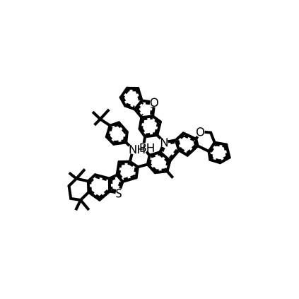 Cc1cc(-c2cc3sc4cc5c(cc4c3cc2Nc2ccc(C(C)(C)C)cc2)C(C)(C)CCC5(C)C)c2c3c1c1cc4c(cc1n3-c1cc3oc5ccccc5c3cc1B2)OCc1ccccc1-4